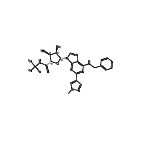 [2H]C([2H])([2H])NC(=O)[C@H]1O[C@@H](n2cnc3c(NCc4ccccc4)nc(-c4cnn(C)c4)nc32)[C@H](O)[C@@H]1O